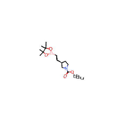 CC(C)(C)OC(=O)N1CCC(CCB2OC(C)(C)C(C)(C)O2)C1